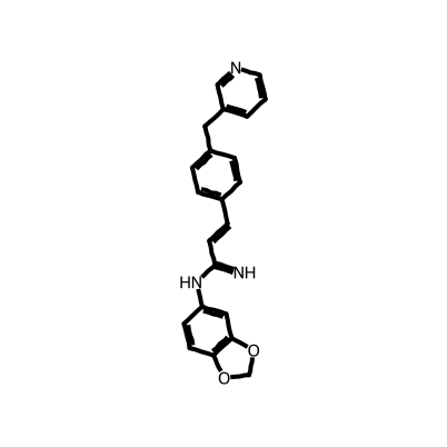 N=C(/C=C/c1ccc(Cc2cccnc2)cc1)Nc1ccc2c(c1)OCO2